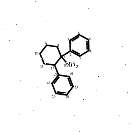 NC1(c2ccccc2)CCCCC1c1ccccc1